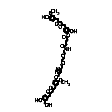 COc1cc(CC(=O)CC(=O)Cc2ccc(OC(=O)CCCC(=O)NCCOCCOCCn3cc(COc4ccc(CC(=O)CC(=O)Cc5ccc(O)c(CO)c5)cc4OC)nn3)c(O)c2)ccc1O